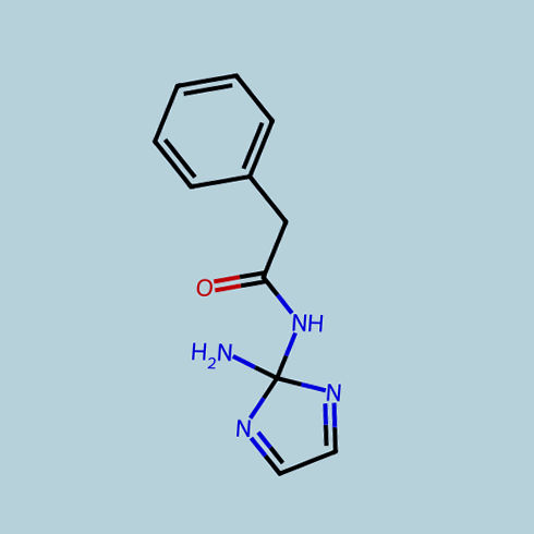 NC1(NC(=O)Cc2ccccc2)N=CC=N1